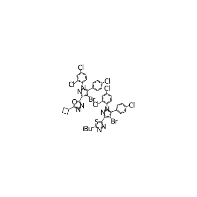 CCC(C)c1nnc(-c2nn(-c3ccc(Cl)cc3Cl)c(-c3ccc(Cl)cc3)c2Br)s1.Clc1ccc(-c2c(Br)c(-c3nnc(C4CCC4)o3)nn2-c2ccc(Cl)cc2Cl)cc1